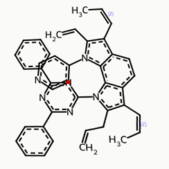 C=CCc1c(/C=C\C)c2ccc3c(/C=C\C)c(C=C)n(-c4ccncc4)c3c2n1-c1nc(-c2ccccc2)nc(-c2ccccc2)n1